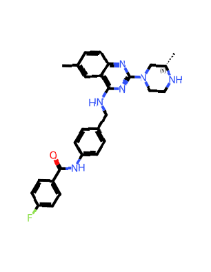 Cc1ccc2nc(N3CCN[C@@H](C)C3)nc(NCc3ccc(NC(=O)c4ccc(F)cc4)cc3)c2c1